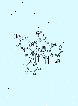 Cc1cc(Br)c2[nH]c(N[C@](Cc3ccccc3)(c3cc(F)cc(C(F)(F)F)c3)c3ccc(Cl)cn3)nc2c1